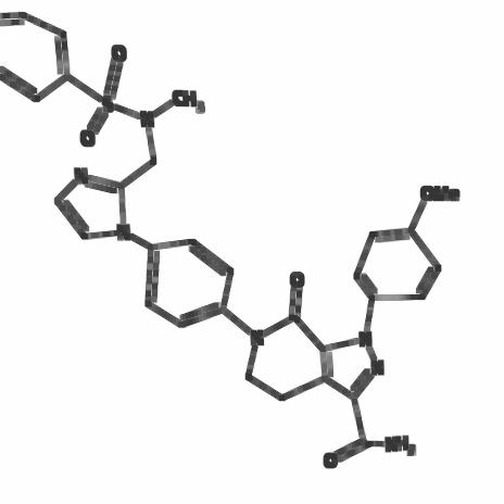 COc1ccc(-n2nc(C(N)=O)c3c2C(=O)N(c2ccc(-n4ccnc4CN(C)S(=O)(=O)c4ccccc4)cc2)CC3)cc1